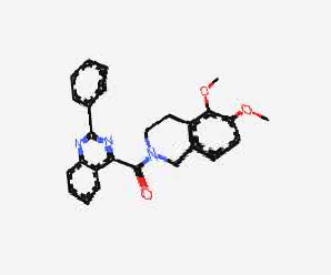 COc1ccc2c(c1OC)CCN(C(=O)c1nc(-c3ccccc3)nc3ccccc13)C2